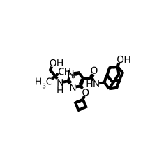 CC(C)(CO)Nc1ncc(C(=O)NC2C3CC4CC2CC(O)(C4)C3)c(OC2CCC2)n1